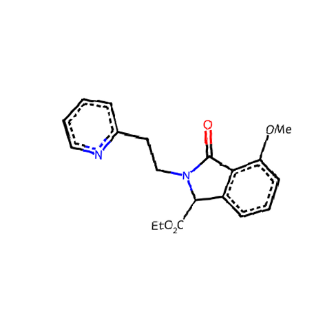 CCOC(=O)C1c2cccc(OC)c2C(=O)N1CCc1ccccn1